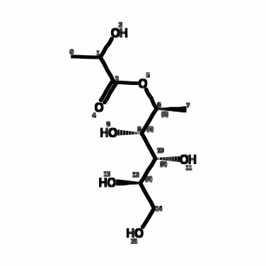 CC(O)C(=O)O[C@@H](C)[C@@H](O)[C@H](O)[C@H](O)CO